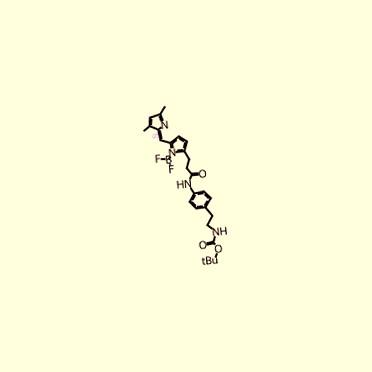 CC1=CC(C)=N/C1=C\c1ccc(CCC(=O)Nc2ccc(CCNC(=O)OC(C)(C)C)cc2)n1B(F)F